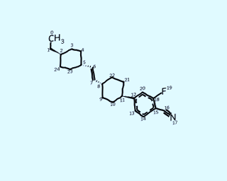 CC[C@H]1CC[C@H](/C=C/[C@H]2CC[C@H](c3ccc(C#N)c(F)c3)CC2)CC1